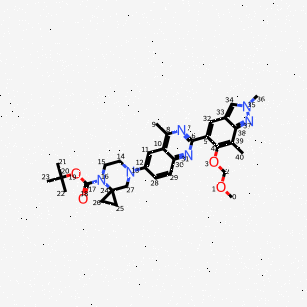 COCOc1c(-c2nc(C)c3cc(N4CCN(C(=O)OC(C)(C)C)C5(CC5)C4)ccc3n2)cc2cn(C)nc2c1C